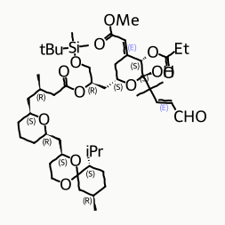 CCC(=O)O[C@H]1/C(=C/C(=O)OC)C[C@@H](C[C@H](CO[Si](C)(C)C(C)(C)C)OC(=O)C[C@H](C)C[C@@H]2CCC[C@H](C[C@@H]3CCOC4(C[C@H](C)CC[C@H]4C(C)C)O3)O2)O[C@@]1(O)C(C)(C)/C=C/C=O